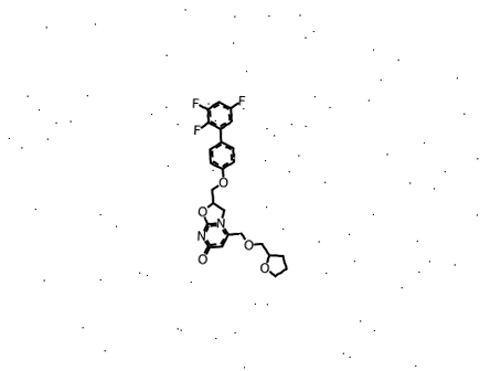 O=c1cc(COCC2CCCO2)n2c(n1)OC(COc1ccc(-c3cc(F)cc(F)c3F)cc1)C2